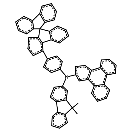 CC1(C)c2ccccc2-c2ccc(N(c3ccc(-c4cccc5c4-c4ccccc4C54c5ccccc5-c5ccccc54)cc3)c3ccc4c5ccccc5c5ccccc5c4c3)cc21